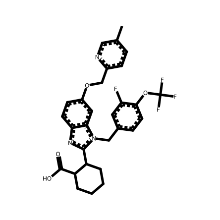 Cc1ccc(COc2ccc3nc(C4CCCCC4C(=O)O)n(Cc4ccc(OC(F)(F)F)c(F)c4)c3c2)nc1